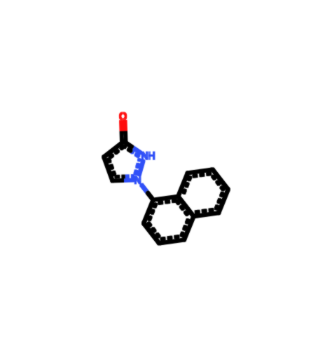 O=c1ccn(-c2cccc3ccccc23)[nH]1